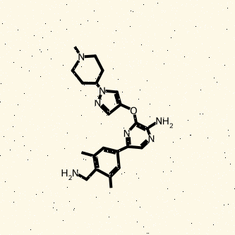 Cc1cc(-c2cnc(N)c(Oc3cnn(C4CCN(C)CC4)c3)n2)cc(C)c1CN